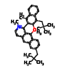 Cc1c2c(c(CC(C)(C)C)c3ccccc13)Oc1c3ccc(CC(C)(C)C)cc3cc3cc[n+](C)c-2c13